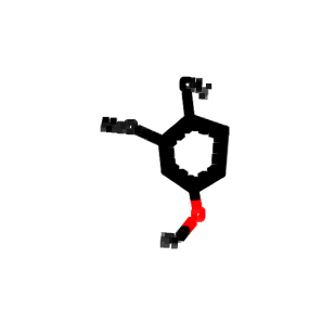 [CH2]c1ccc(OC(C)C)cc1OC